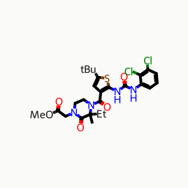 CCC1(C)C(=O)N(CC(=O)OC)CCN1C(=O)c1cc(C(C)(C)C)sc1NC(=O)Nc1cccc(Cl)c1Cl